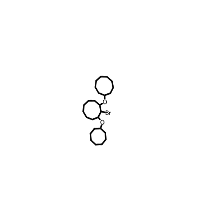 BrC1C(OC2CCCCCCCC2)CCCCCCC1OC1CCCCCCC1